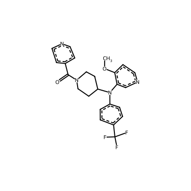 COc1ccncc1N(c1ccc(C(F)(F)F)cc1)C1CCN(C(=O)c2ccncc2)CC1